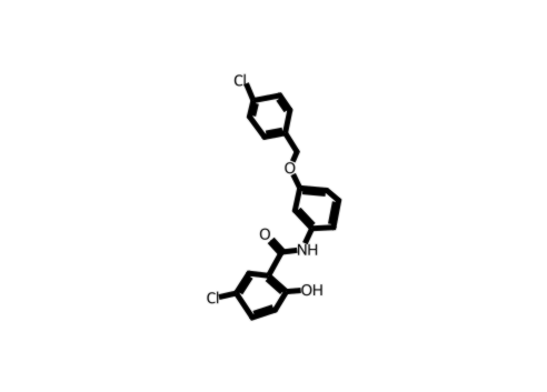 O=C(Nc1cccc(OCc2ccc(Cl)cc2)c1)c1cc(Cl)ccc1O